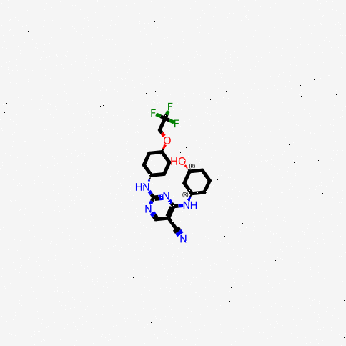 N#Cc1cnc(N[C@H]2CC[C@H](OCC(F)(F)F)CC2)nc1N[C@@H]1CCC[C@@H](O)C1